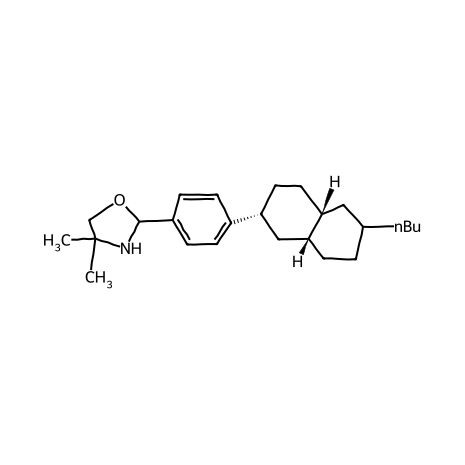 CCCCC1CC[C@@H]2C[C@H](c3ccc(C4NC(C)(C)CO4)cc3)CC[C@@H]2C1